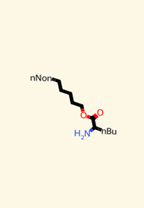 CCCCCCCCCCCCCCOC(=O)C(N)CCCC